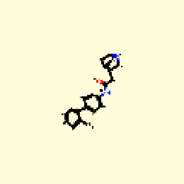 O=C(CC1CN2CCC1CC2)Nc1ccc(-c2ccccc2C(F)(F)F)cc1